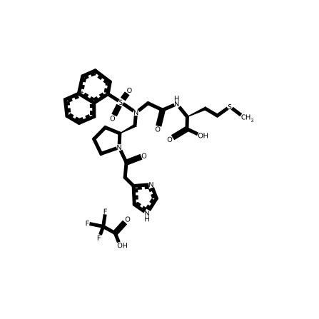 CSCC[C@H](NC(=O)CN(C[C@@H]1CCCN1C(=O)Cc1c[nH]cn1)S(=O)(=O)c1cccc2ccccc12)C(=O)O.O=C(O)C(F)(F)F